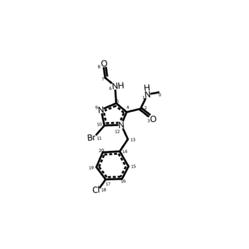 CNC(=O)c1c(NC=O)nc(Br)n1Cc1ccc(Cl)cc1